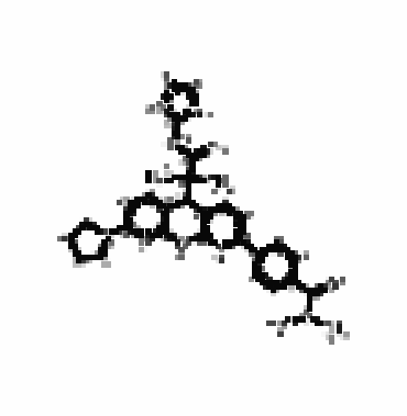 CN(C)C(=O)c1ccc(-c2ccc3c(n2)Oc2nc(N4CCCC4)ccc2C3C(C)(C)C(=O)Nc2nncs2)cc1